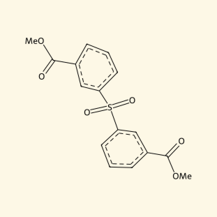 COC(=O)c1cccc(S(=O)(=O)c2cccc(C(=O)OC)c2)c1